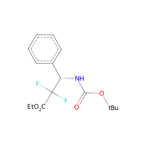 CCOC(=O)C(F)(F)[C@@H](NC(=O)OC(C)(C)C)c1ccccc1